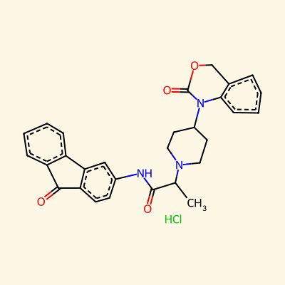 CC(C(=O)Nc1ccc2c(c1)-c1ccccc1C2=O)N1CCC(N2C(=O)OCc3ccccc32)CC1.Cl